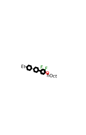 CCCCCCCCOc1ccc(C2CCC([C@H]3CC[C@H](CC)CC3)CC2)c(F)c1F